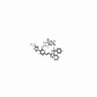 COc1nc(/C=C/c2nc3n(n2)CCC[C@H]3c2ccccc2C(F)(F)F)ccc1-n1cnc(C)c1.O=S(=O)(O)OS(=O)(=O)O